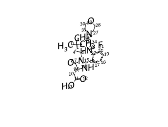 CC(C)(C)CCN1C(=O)[C@@H](CC(=O)O)NC1c1cccc(F)c1NCCN1CCOCC1